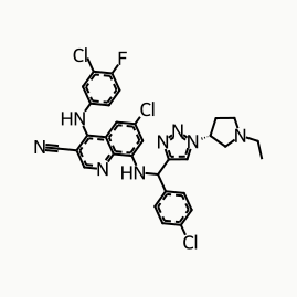 CCN1CC[C@@H](n2cc(C(Nc3cc(Cl)cc4c(Nc5ccc(F)c(Cl)c5)c(C#N)cnc34)c3ccc(Cl)cc3)nn2)C1